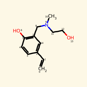 C=Cc1ccc(O)c(CN(C)CCO)c1